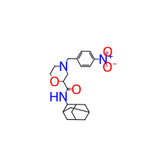 O=C(NC1C2CC3CC(C2)CC1C3)C1CN(Cc2ccc([N+](=O)[O-])cc2)CCO1